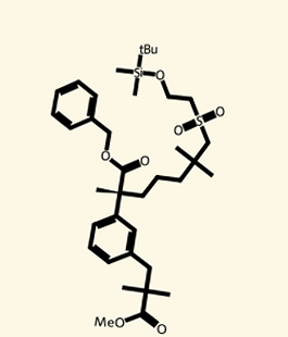 COC(=O)C(C)(C)Cc1cccc([C@@](C)(CCCC(C)(C)CS(=O)(=O)CCO[Si](C)(C)C(C)(C)C)C(=O)OCc2ccccc2)c1